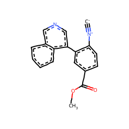 [C-]#[N+]c1ccc(C(=O)OC)cc1-c1cncc2ccccc12